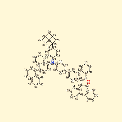 c1ccc(-c2oc3c4ccccc4c4cc(-c5ccc(N(c6ccc(C78CC9CC%10CC(C7)C%1098)cc6)c6ccc(-c7cccc8ccccc78)c7ccccc67)cc5)ccc4c3c2-c2ccccc2)cc1